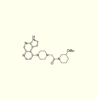 CC(C)COC1CCCN(C(=O)CN2CCN(c3ccnc4cnc5[nH]ccc5c34)CC2)C1